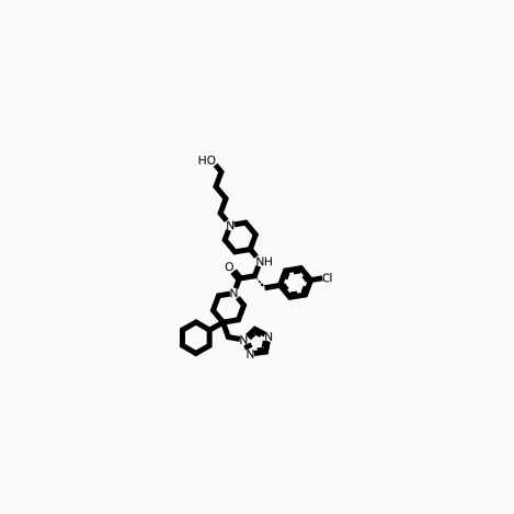 O=C([C@@H](Cc1ccc(Cl)cc1)NC1CCN(CCCCO)CC1)N1CCC(Cn2cncn2)(C2CCCCC2)CC1